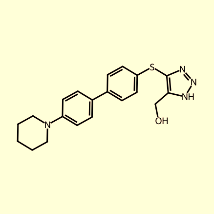 OCc1[nH]nnc1Sc1ccc(-c2ccc(N3CCCCC3)cc2)cc1